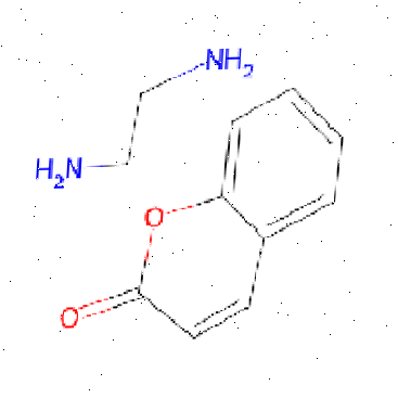 NCCN.O=c1ccc2ccccc2o1